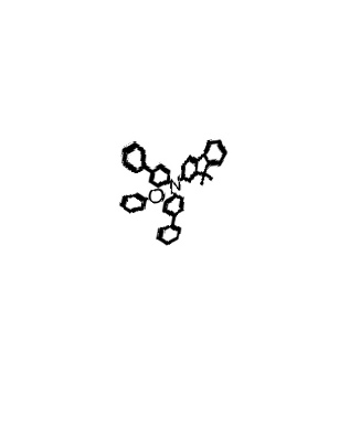 CC1(C)c2ccccc2-c2ccc(N(c3ccc(-c4ccccc4)cc3)c3ccc(-c4ccccc4)cc3Oc3ccccc3)cc21